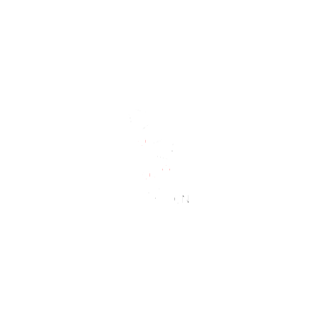 CC1(C)C(C)(C)C1(CC#N)C(=O)Oc1cccc(Oc2ccccc2)c1